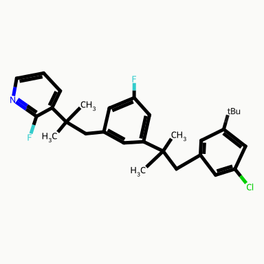 CC(C)(C)c1cc(Cl)cc(CC(C)(C)c2cc(F)cc(CC(C)(C)c3cccnc3F)c2)c1